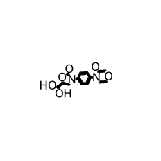 O=C1COCCN1c1ccc(N2CC(C(O)O)OC2=O)cc1